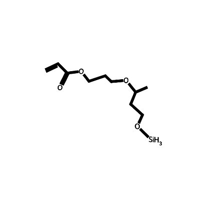 C=CC(=O)OCCCOC(C)CCO[SiH3]